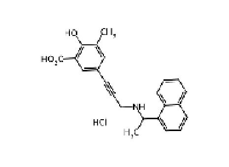 Cc1cc(C#CCNC(C)c2cccc3ccccc23)cc(C(=O)O)c1O.Cl